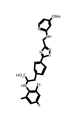 CCc1cc(F)cc(C)c1NC(Cc1ccc(-c2nc(CNc3cc(OC)ccn3)ns2)cc1)C(=O)O